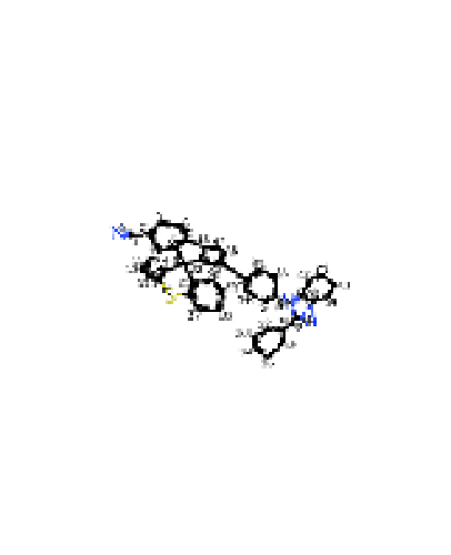 N#Cc1ccc2c(c1)C1(c3ccccc3Sc3ccccc31)c1cc(-c3ccc(-n4c(-c5ccccc5)nc5ccccc54)cc3)ccc1-2